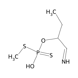 CCC(C=N)OP(O)(=S)SC